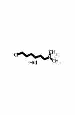 CN(C)CCCCCCCl.Cl